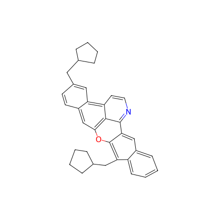 c1ccc2c(CC3CCCC3)c3c(cc2c1)-c1nccc2c1c(cc1ccc(CC4CCCC4)cc12)O3